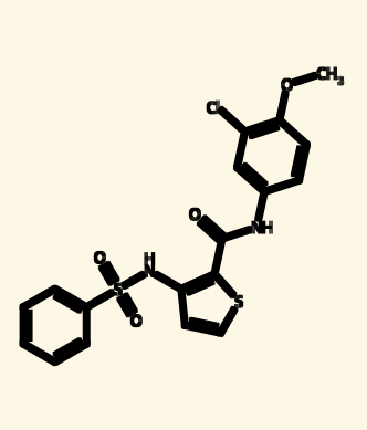 COc1ccc(NC(=O)c2sccc2NS(=O)(=O)c2ccccc2)cc1Cl